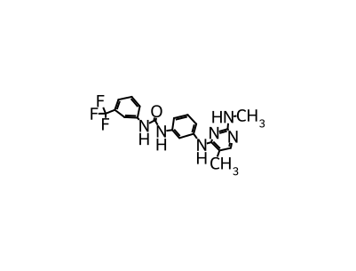 CNc1ncc(C)c(Nc2cccc(NC(=O)Nc3cccc(C(F)(F)F)c3)c2)n1